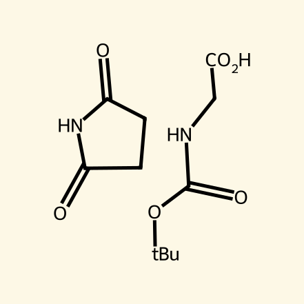 CC(C)(C)OC(=O)NCC(=O)O.O=C1CCC(=O)N1